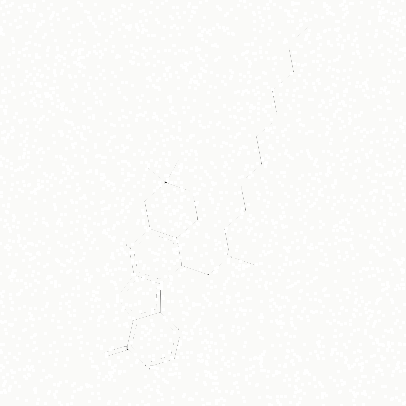 COCCOCCOCCN(C)Cc1c2c(nc3sc4c(=O)[nH]cnc4c13)CC(C)(C)OC2